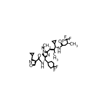 C=Nn1cc([C@@H](NC(=O)c2conc2C2CC2)C2CCC(F)(F)CC2)nc1/C=C(\C)[C@H](NC(=O)C[C@H](C)C(F)(F)F)C1CC1